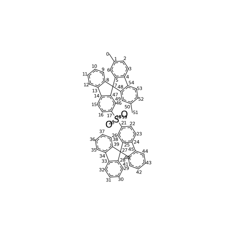 Cc1ccc2c(c1)C1(c3ccccc3-c3ccc(S(=O)(=O)c4ccc5c(c4)C4(c6ccccc6-c6ccccc64)c4ccccc4-5)cc31)c1cc(C)ccc1-2